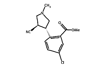 COC(=O)c1cc(Cl)ccc1[C@H]1CN(C)C[C@@H]1C#N